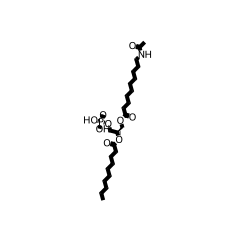 CCCCCCCCCC(=O)O[C@H](COC(=O)CCCCCCCCCNC(C)=O)COP(=O)(O)O